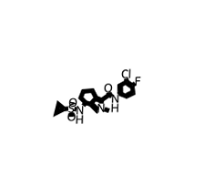 Cn1cc2c(c1C(=O)Nc1ccc(F)c(Cl)c1)CCCC2NS(=O)(=O)C1CC1